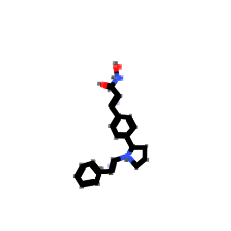 O=C(/C=C/c1ccc(C2CCCN2/C=C/c2ccccc2)cc1)NO